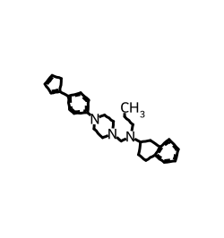 CCCN(CN1CCN(c2ccc(C3=CC=CC3)cc2)CC1)C1CCc2ccccc2C1